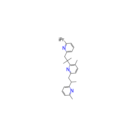 Cc1cccc(C(C)Cc2ccc(C)c(C(C)(C)Cc3cccc(C(C)C)n3)n2)n1